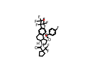 O=C(N1CC[C@]2(S(=O)(=O)c3ccc(F)cc3)c3ccc(C(F)(C(F)(F)F)C(F)(F)F)cc3CC[C@H]12)C1(C(F)(F)F)CCCC1